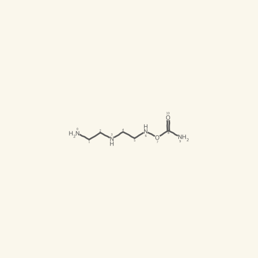 NCCNCCNOC(N)=O